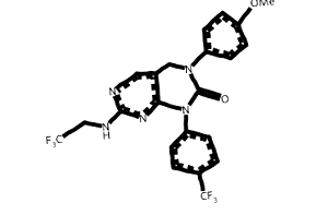 COc1ccc(N2Cc3cnc(NCC(F)(F)F)nc3N(c3ccc(C(F)(F)F)cc3)C2=O)cc1